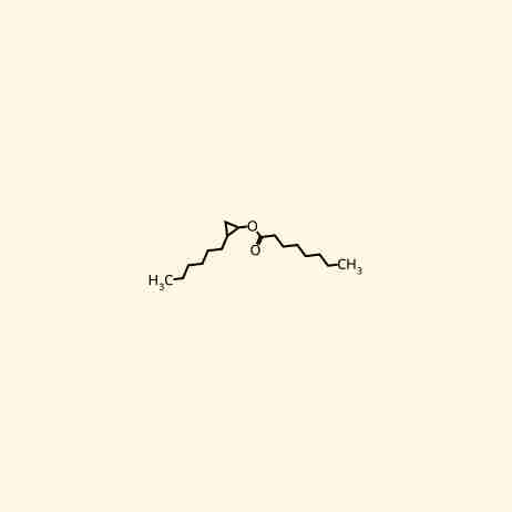 CCCCCCCC(=O)OC1CC1CCCCCC